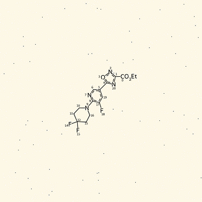 CCOC(=O)c1noc(-c2cnc(N3CCC(F)(F)CC3)c(F)c2)n1